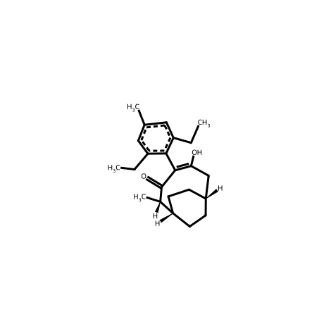 CCc1cc(C)cc(CC)c1/C1=C(\O)C[C@H]2CC[C@H](CC2)[C@H](C)C1=O